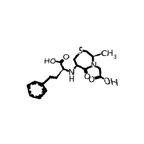 C[C@@H]1CSC[C@H](N[C@@H](CCc2ccccc2)C(=O)O)C(=O)N1CC(=O)O